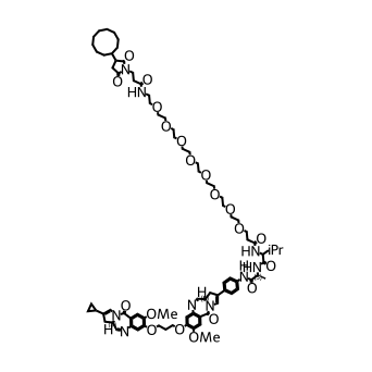 COc1cc2c(cc1OCCCOc1cc3c(cc1OC)C(=O)N1C=C(C4CC4)C[C@H]1C=N3)N=C[C@@H]1CC(c3ccc(NC(=O)[C@H](C)NC(=O)C(NC(=O)CCOCCOCCOCCOCCOCCOCCOCCOCCNC(=O)CCN4C(=O)CC(C5CCCCCCCCC5)C4=O)C(C)C)cc3)=CN1C2=O